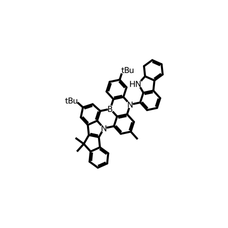 Cc1cc2c3c(c1)-n1c4c(c5cc(C(C)(C)C)cc(c51)B3c1ccc(C(C)(C)C)cc1N2c1cccc2c1NC1CC=CC=C21)C(C)(C)c1ccccc1-4